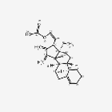 C=C1C(=C)[C@H]2[C@@H]3CCC4=CCCC[C@@H]4[C@H]3CC[C@]2(CC)[C@@H]1/C=C\OC(=O)O